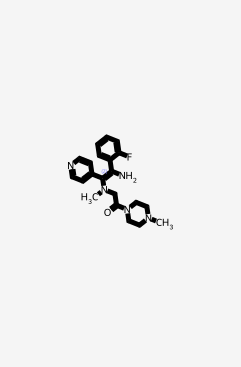 CN1CCN(C(=O)CN(C)/C(=C(\N)c2ccccc2F)c2ccncc2)CC1